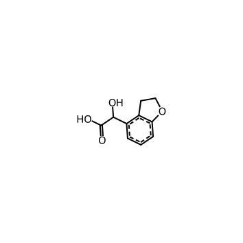 O=C(O)C(O)c1cccc2c1CCO2